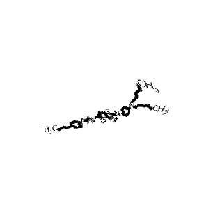 CCCCCCN(CCCCCC)c1ccc(N=Nc2nc3sc(N=Nc4ccc(CCCC)cc4)cc3s2)cc1